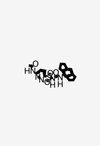 CC(=O)Nc1ccc(S(=O)(=O)NC(=O)Nc2c3c(cc4c2CCC4)CCC3)nn1